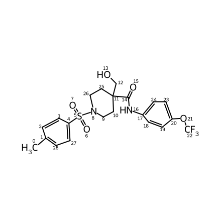 Cc1ccc(S(=O)(=O)N2CCC(CO)(C(=O)Nc3ccc(OC(F)(F)F)cc3)CC2)cc1